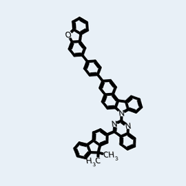 CC1(C)c2ccccc2-c2ccc(-c3nc(-n4c5ccccc5c5c6ccc(-c7ccc(-c8ccc9oc%10ccccc%10c9c8)cc7)cc6ccc54)nc4ccccc34)cc21